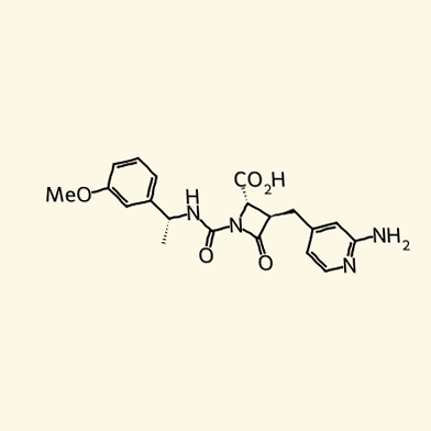 COc1cccc([C@@H](C)NC(=O)N2C(=O)[C@H](Cc3ccnc(N)c3)[C@H]2C(=O)O)c1